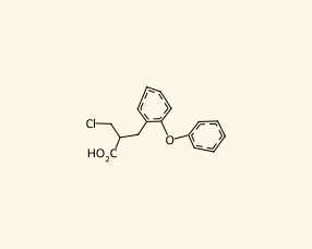 O=C(O)C(CCl)Cc1ccccc1Oc1ccccc1